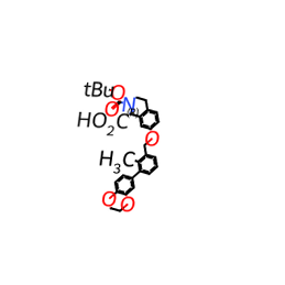 Cc1c(COc2ccc3c(c2)[C@H](C(=O)O)N(C(=O)OC(C)(C)C)CC3)cccc1-c1ccc2c(c1)OCCO2